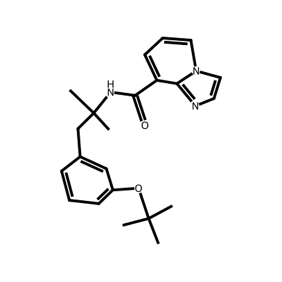 CC(C)(Cc1cccc(OC(C)(C)C)c1)NC(=O)c1cccn2ccnc12